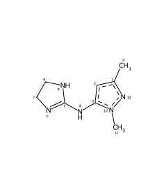 Cc1cc(NC2=NCCN2)n(C)n1